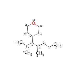 CCCC(C)C(C(C)C)C1CCOCC1